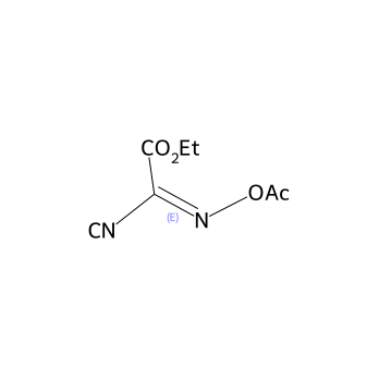 [C-]#[N+]/C(=N/OC(C)=O)C(=O)OCC